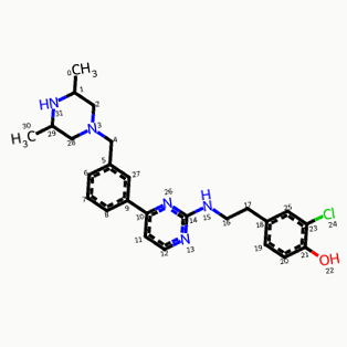 CC1CN(Cc2cccc(-c3ccnc(NCCc4ccc(O)c(Cl)c4)n3)c2)CC(C)N1